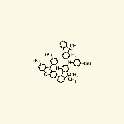 CC(C)(C)c1ccc(N(c2ccc3c(c2)C(C)(C)c2ccccc2-3)c2cc(N3c4ccc(C(C)(C)C)cc4B4c5cc(C(C)(C)C)ccc5Oc5cccc3c54)c3c(c2)C(C)(C)c2ccccc2-3)cc1